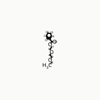 CCOCCOCCOC(=O)C1CC2CCC1C2